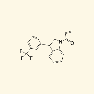 C=CC(=O)N1CC(c2cccc(C(F)(F)F)c2)c2ccccc21